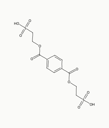 O=C(OCCS(=O)(=O)O)c1ccc(C(=O)OCCS(=O)(=O)O)cc1